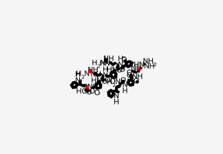 COc1ccc(NC(=O)[C@@H](CCCNC(=N)N)NC(=O)c2cc(NC(=O)[C@@H](CCCNC(=N)N)NC(=O)c3cc(NC(=O)C(N)/C=C/c4c[nH]c5ccccc45)ccc3OC)ccc2OC)cc1C(=O)N[C@H](CCCNC(=N)N)C(=O)NC1=CCC(OC)C(C(=O)NC(/C=C/c2c[nH]c3ccccc23)C(=O)O)=C1